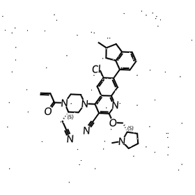 C=CC(=O)N1CCN(c2c(C#N)c(OC[C@@H]3CCCN3C)nc3cc(-c4cccc5c4CC(C)C5)c(Cl)cc23)C[C@@H]1CC#N